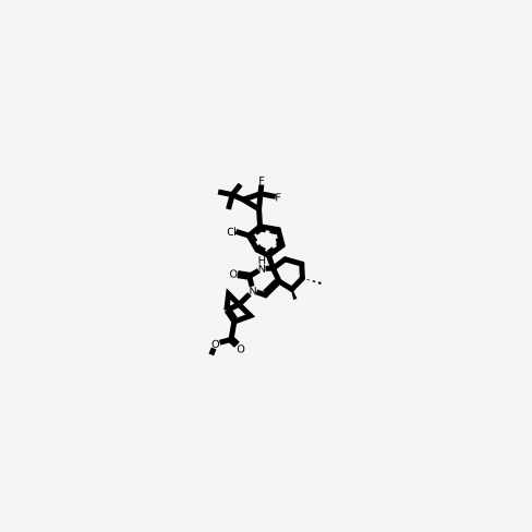 COC(=O)C1=C2CC2(N2C=C3[C@H](C)[C@@H](C)CCC3(c3ccc(C4C(C(C)(C)C)C4(F)F)c(Cl)c3)NC2=O)C1